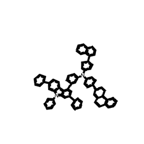 C1=Cc2ccccc2C2CC=C(c3ccc(N(c4ccc(-c5cccc6ccccc56)cc4)c4cccc(-c5cc(-c6ccccc6)cc6c5c5ccc(-c7ccccc7)cc5n6-c5ccccc5)c4)cc3)C=C12